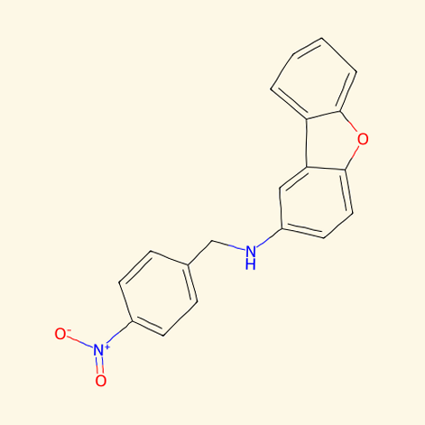 O=[N+]([O-])c1ccc(CNc2ccc3oc4ccccc4c3c2)cc1